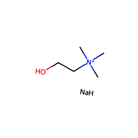 C[N+](C)(C)CCO.[NaH]